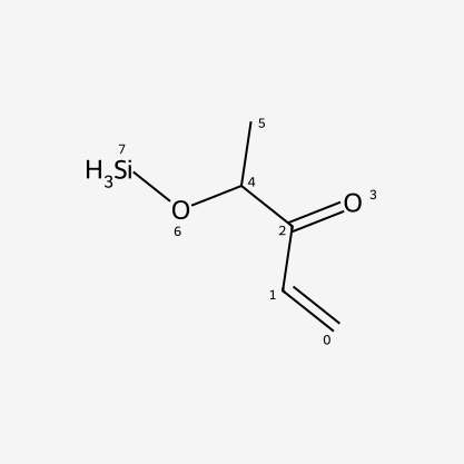 C=CC(=O)C(C)O[SiH3]